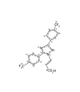 O=C(O)C=Cn1nc(-c2ccc(C(F)(F)F)cc2)nc1-c1ccc(C(F)(F)F)cc1